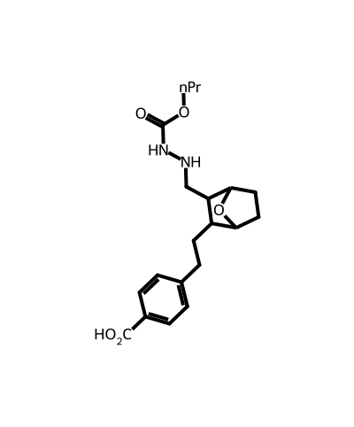 CCCOC(=O)NNCC1C2CCC(O2)C1CCc1ccc(C(=O)O)cc1